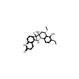 CCc1ccc2c(c1O)[C@@H](CC)C[C@@](O)(C(F)(F)F)[C@H]2Nc1cccc2[nH]c(=O)ccc12